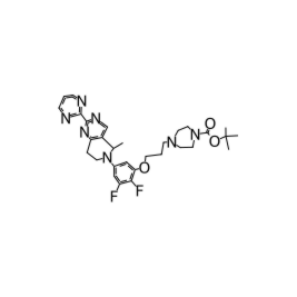 CC1c2cnc(-c3ncccn3)nc2CCN1c1cc(F)c(F)c(OCCCN2CCN(C(=O)OC(C)(C)C)CC2)c1